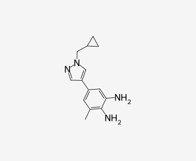 Cc1cc(-c2cnn(CC3CC3)c2)cc(N)c1N